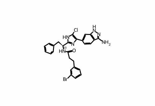 Nc1n[nH]c2cc(-c3nc([C@H](Cc4ccccc4)NC(=O)CCc4cccc(Br)c4)[nH]c3Cl)ccc12